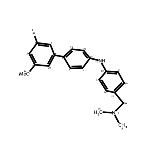 COc1cc(F)cc(-c2ccc(Nc3ccc(CN(C)C)cc3)cc2)c1